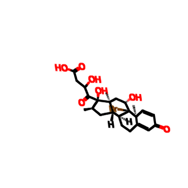 C[C@@H]1C[C@H]2[C@@H]3CCC4=CC(=O)C=C[C@]4(C)[C@@]3(Br)[C@@H](O)C[C@]2(C)[C@@]1(O)C(=O)C(O)CC(=O)O